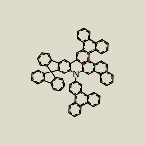 c1ccc2c(c1)-c1ccccc1C21c2ccccc2-c2cc(-c3ccc4c5ccccc5c5ccccc5c4c3)c(N(c3ccc4ccc5ccccc5c4c3)c3ccc4c5ccccc5c5ccccc5c4c3)cc21